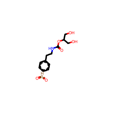 O=C(NCCc1ccc([SH](=O)=O)cc1)OC(CO)CO